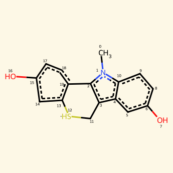 Cn1c2c(c3cc(O)ccc31)C[SH]c1cc(O)ccc1-2